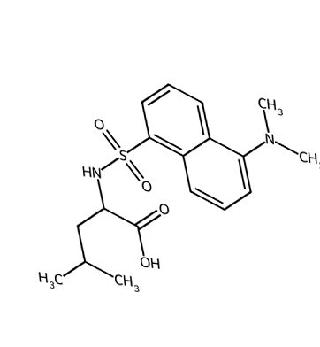 CC(C)CC(NS(=O)(=O)c1cccc2c(N(C)C)cccc12)C(=O)O